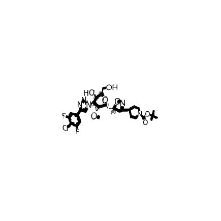 CO[C@@H]1[C@@H](n2cc(-c3cc(F)c(Cl)c(F)c3)nn2)[C@@H](O)[C@@H](CO)O[C@@H]1C[C@H]1CC(C2CCN(C(=O)OC(C)(C)C)CC2)=NO1